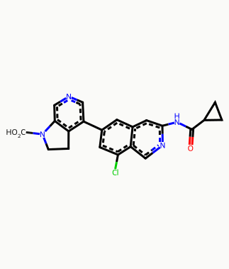 O=C(Nc1cc2cc(-c3cncc4c3CCN4C(=O)O)cc(Cl)c2cn1)C1CC1